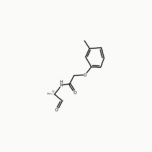 Cc1cccc(OCC(=O)N[C@@H](C)[C]=O)c1